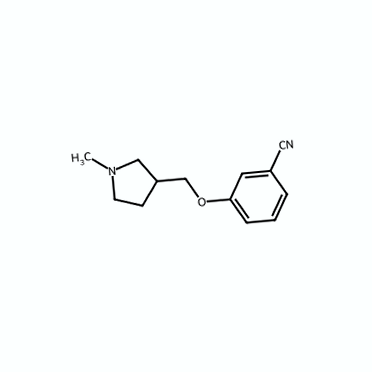 CN1CCC(COc2cccc(C#N)c2)C1